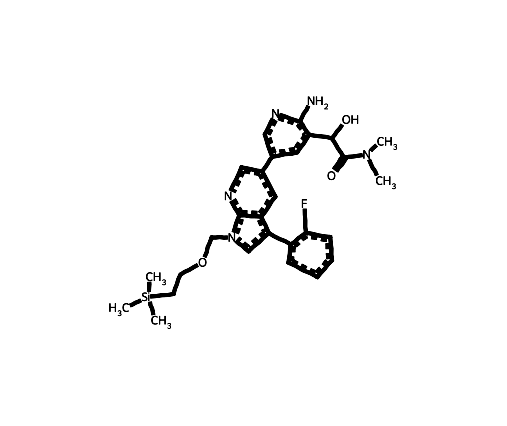 CN(C)C(=O)C(O)c1cc(-c2cnc3c(c2)c(-c2ccccc2F)cn3COCC[Si](C)(C)C)cnc1N